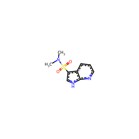 CN(C)S(=O)(=O)c1c[nH]c2ncccc12